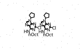 CCCCCCCCNc1nc(Cl)nc2c1ncn2C1CCCC1.CCCCCCCCNc1nc(Cl)nc2c1ncn2C1CCCC1